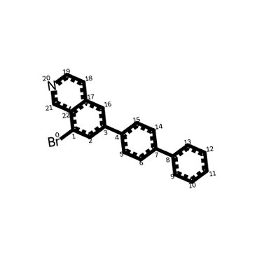 Brc1cc(-c2ccc(-c3ccccc3)cc2)cc2ccncc12